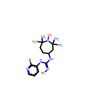 CC1(C)CCC(NC(=NC#N)Nc2cccnc2Br)CC(C)(C)N1O